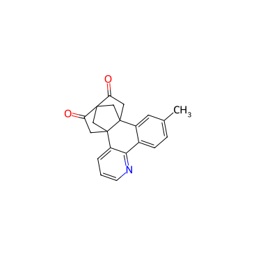 Cc1ccc2c(c1)C13CC(=O)C4(C1)CC3(CC4=O)c1cccnc1-2